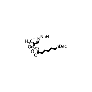 CCCCCCCCCCCCCCCC(=O)OS(=O)(=O)C(C)CN.[NaH]